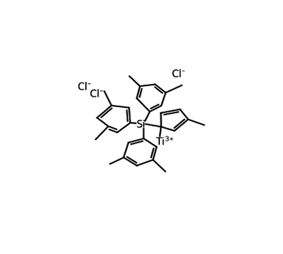 CC1=C[C]([Ti+3])([Si](c2cc(C)cc(C)c2)(c2cc(C)cc(C)c2)c2cc(C)cc(C)c2)C=C1.[Cl-].[Cl-].[Cl-]